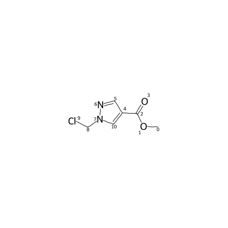 COC(=O)c1cnn(CCl)c1